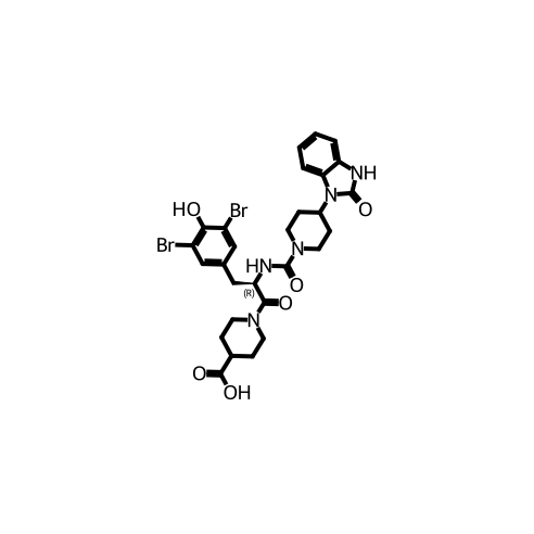 O=C(O)C1CCN(C(=O)[C@@H](Cc2cc(Br)c(O)c(Br)c2)NC(=O)N2CCC(n3c(=O)[nH]c4ccccc43)CC2)CC1